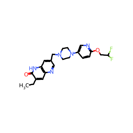 CCc1cc2ncc(CN3CCN(c4ccc(OCC(F)F)nc4)CC3)cc2[nH]c1=O